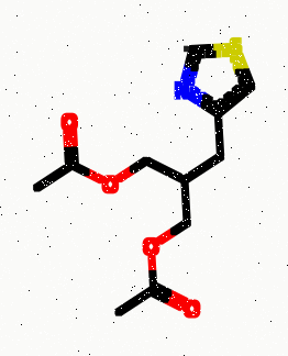 CC(=O)OCC(COC(C)=O)Cc1cs[c]n1